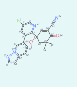 COC1(c2ncc(F)cc2-c2ccc3ccnn3c2)C=C(C#N)C(=O)C(C)(C)C1